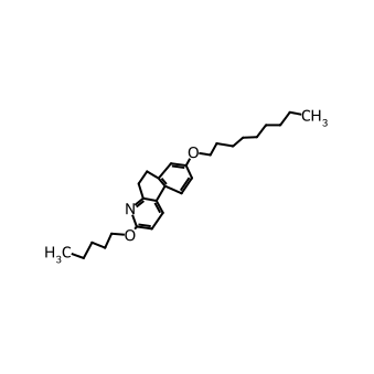 CCCCCCCCCOc1ccc2c(c1)CCc1nc(OCCCCC)ccc1-2